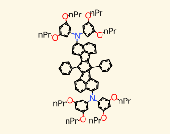 CCCOc1cc(OCCC)cc(N(c2cc(OCCC)cc(OCCC)c2)c2ccc3c4c(-c5ccccc5)c5c6cccc7c(N(c8cc(OCCC)cc(OCCC)c8)c8cc(OCCC)cc(OCCC)c8)ccc(c5c(-c5ccccc5)c4c4cccc2c43)c76)c1